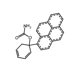 NC(=O)OC1(c2ccc3ccc4cccc5ccc2c3c45)C=CC=CC1